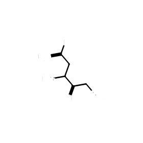 C=C(CC)CC(N)C(=C)CN